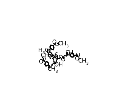 CCOC(=O)c1ccc(N(C)CCC(=O)OCC(CC)(COC(=O)CCN(C)c2ccc(C(=O)OCC)cc2)COC(O)CCN(C)c2ccc(C(=O)OCC)cc2)cc1